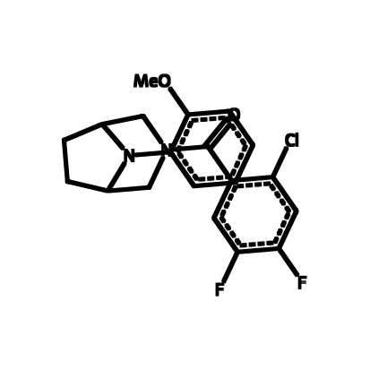 COc1ccccc1N1C2CCC1CN(C(=O)c1cc(F)c(F)cc1Cl)C2